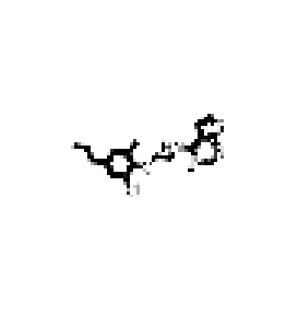 CCCc1cc(C)c(OCCNC2=c3ccsc3=NCN2C)c(Cl)c1